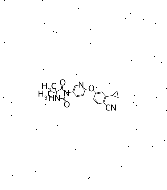 CC1(C)NC(=O)N(c2ccc(Oc3ccc(C#N)c(C4CC4)c3)nc2)C1=O